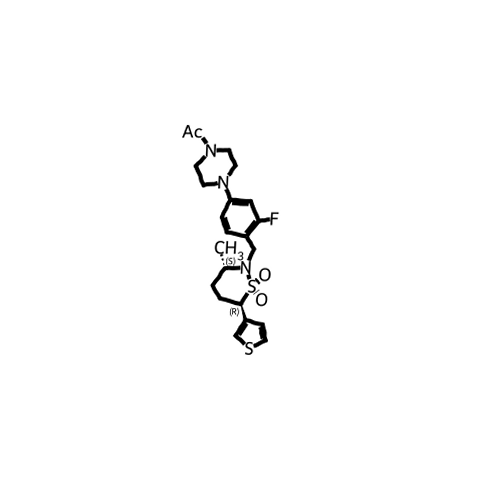 CC(=O)N1CCN(c2ccc(CN3[C@@H](C)CC[C@H](c4ccsc4)S3(=O)=O)c(F)c2)CC1